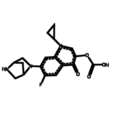 O=C(O)Oc1cn(C2CC2)c2cc(N3CC4CC3CN4)c(F)cc2c1=O